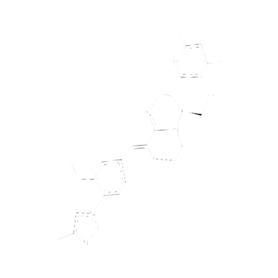 COc1cc(/C=C2\CCCN3C2=NO[C@H](c2cc(C)cc(F)c2)[C@H]3CO)ccc1-n1cnc(C)c1